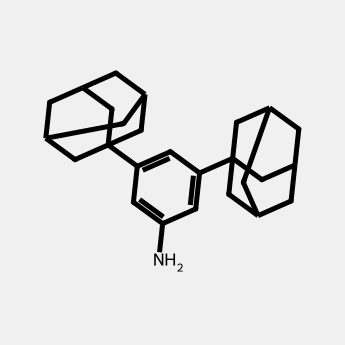 Nc1cc(C23CC4CC(CC(C4)C2)C3)cc(C23CC4CC(CC(C4)C2)C3)c1